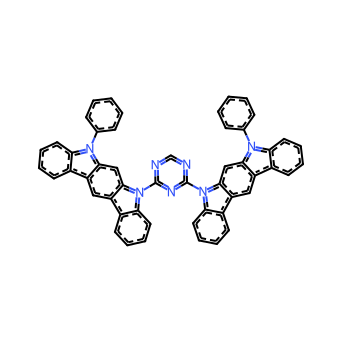 c1ccc(-n2c3ccccc3c3cc4c5ccccc5n(-c5ncnc(-n6c7ccccc7c7cc8c9ccccc9n(-c9ccccc9)c8cc76)n5)c4cc32)cc1